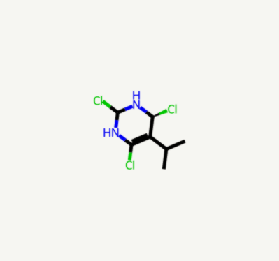 CC(C)C1=C(Cl)NC(Cl)N[C@H]1Cl